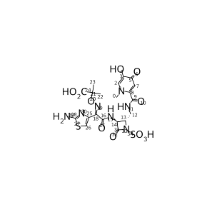 Cn1cc(O)c(=O)cc1C(=O)NC[C@H]1[C@H](NC(=O)C(=NOC(C)(C)C(=O)O)c2csc(N)n2)C(=O)N1S(=O)(=O)O